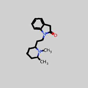 CC1CCCC(CCN2C(=O)Cc3ccccc32)N1C